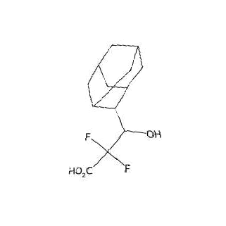 O=C(O)C(F)(F)C(O)C1C2CC3CC(C2)CC1C3